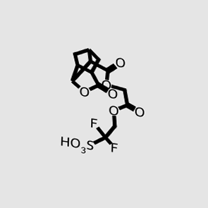 O=C(COC(=O)C1C2CC3C(=O)OC1C3C2)OCC(F)(F)S(=O)(=O)O